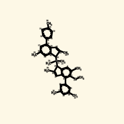 COc1c(C)cc2c(c1-c1cc(C)cc(C)c1)C=C(C)C2[Si](C)(C)C1C(C)=Cc2c(-c3ccc(C)cc3)cc(C)cc21